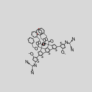 COc1cc(N=C(C#N)C#N)sc1-c1cc2c(s1)-c1sc3c(c1C2(C(=O)OCc1ccccc1)C(=O)OCc1ccccc1)C(C(=O)OCc1ccccc1)(C(=O)OCc1ccccc1)c1cc(-c2sc(N=C(C#N)C#N)cc2OC)sc1-3